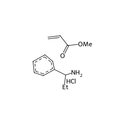 C=CC(=O)OC.CCC(N)c1ccccc1.Cl